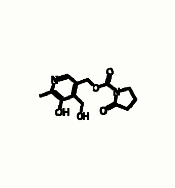 Cc1ncc(COC(=O)N2CCCC2=O)c(CO)c1O